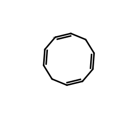 [C]1=C\C/C=C\C=C/C\C=C/1